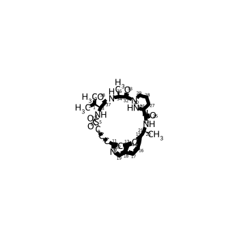 CC(C)[C@@H]1NS(=O)(=O)CCCc2cc3cc(ccc3cn2)[C@@H](C)NC(=O)[C@@H]2CCCN(N2)C(=O)[C@H](C)NC1=O